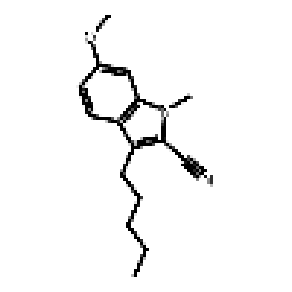 CCCCCc1c(C#N)n(C)c2cc(OC)ccc12